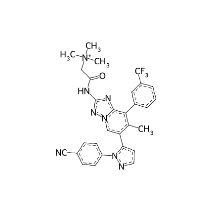 Cc1c(-c2ccnn2-c2ccc(C#N)cc2)cn2nc(NC(=O)C[N+](C)(C)C)nc2c1-c1cccc(C(F)(F)F)c1